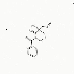 C=CC[C@]1(CCC)CCCN(C(=O)c2ccccc2)C1=O